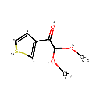 COC(OC)C(=O)c1ccsc1